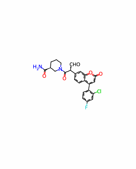 NC(=O)[C@H]1CCCN(C(=O)[C@@H](C=O)c2ccc3c(-c4ccc(F)cc4Cl)cc(=O)oc3c2)C1